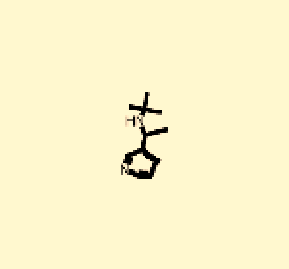 CC(NC(C)(C)C)c1cccnc1